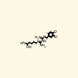 CCCC(O)CCCCN=C(N)NC(N)=NCc1ccc(Cl)c(Cl)c1